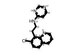 Clc1ccc2cccnc2c1CCNc1ccncn1